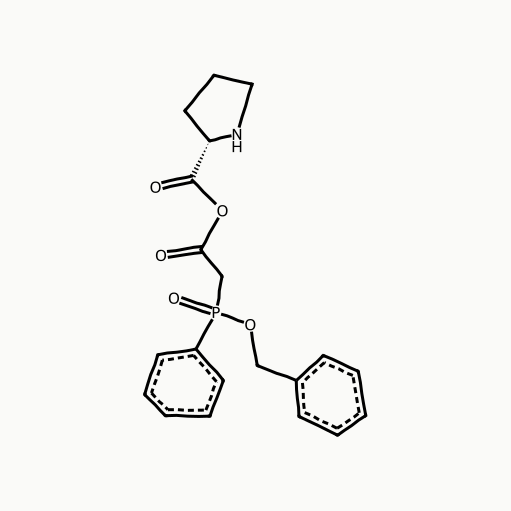 O=C(CP(=O)(OCc1ccccc1)c1ccccc1)OC(=O)[C@@H]1CCCN1